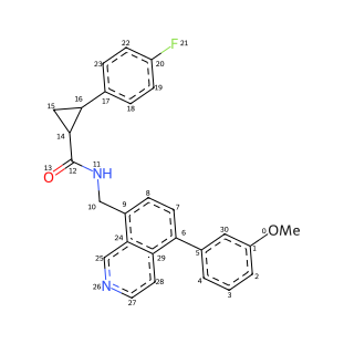 COc1cccc(-c2ccc(CNC(=O)C3CC3c3ccc(F)cc3)c3cnccc23)c1